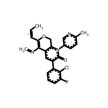 C=NC1=C(/C=C\C)OCc2c1cc(-c1cccc(F)c1Cl)c(=O)n2-c1ccc(C)nc1